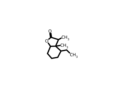 CCC1CCCC2OC(=O)C(C)C12C